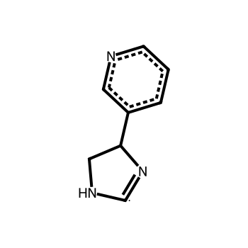 [C]1=NC(c2cccnc2)CN1